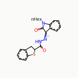 CCCCCCN1C(=O)/C(=N\NC(=O)C2Cc3ccccc3S2)c2ccccc21